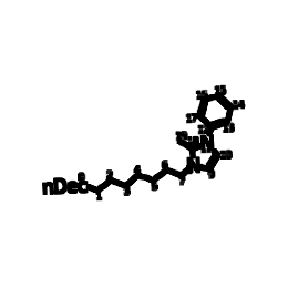 CCCCCCCCCCCCCCCCCN1C=CN(c2ccccc2)C1C